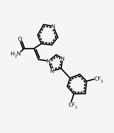 NC(=O)/C(=C/n1cnc(-c2cc(C(F)(F)F)cc(C(F)(F)F)c2)n1)c1ccncc1